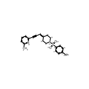 Cc1cccc(C#CC=C2CCN(S(=O)(=O)c3ccc(C(C)C)cc3)CC2)n1